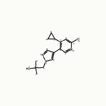 CC(C)(O)Cn1cc(-c2cnc(Cl)cc2C2CC2)cn1